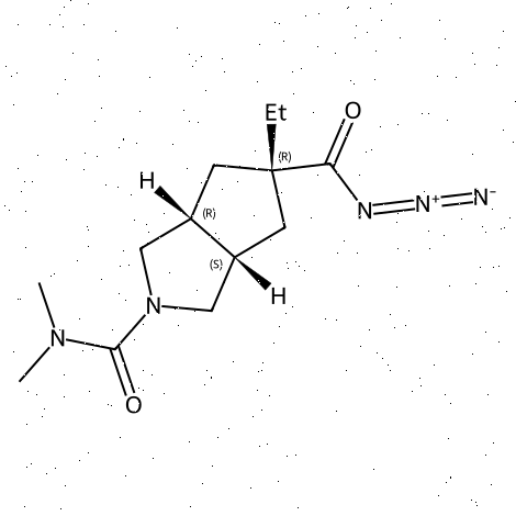 CC[C@]1(C(=O)N=[N+]=[N-])C[C@H]2CN(C(=O)N(C)C)C[C@H]2C1